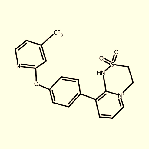 O=S1(=O)CC[n+]2cccc(-c3ccc(Oc4cc(C(F)(F)F)ccn4)cc3)c2N1